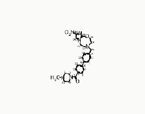 CN1CCN(C(=O)c2ccc(-c3ccc(CN4CCOc5nc([N+](=O)[O-])cn5CC4)cc3)cc2)CC1